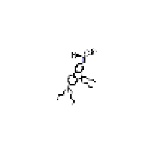 CCCCN(CCCC)c1ccc2c(c1)C(CCCC)(CCCC)c1cc(/C=C(\C#N)OC=O)ccc1-2